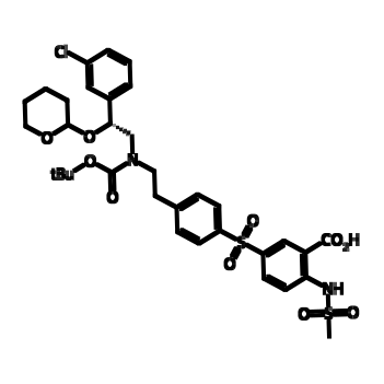 CC(C)(C)OC(=O)N(CCc1ccc(S(=O)(=O)c2ccc(NS(C)(=O)=O)c(C(=O)O)c2)cc1)C[C@H](OC1CCCCO1)c1cccc(Cl)c1